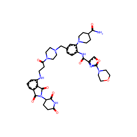 NC(=O)C1CCN(c2cc(CN3CCN(C(=O)CCNc4cccc5c4C(=O)N(C4CCC(=O)NC4=O)C5=O)CC3)ccc2NC(=O)c2coc(N3CCOCC3)n2)CC1